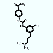 CN(C)CCCc1cc(NC(=S)Nc2ccc(C(N)=O)cc2)cc(C(F)(F)F)c1